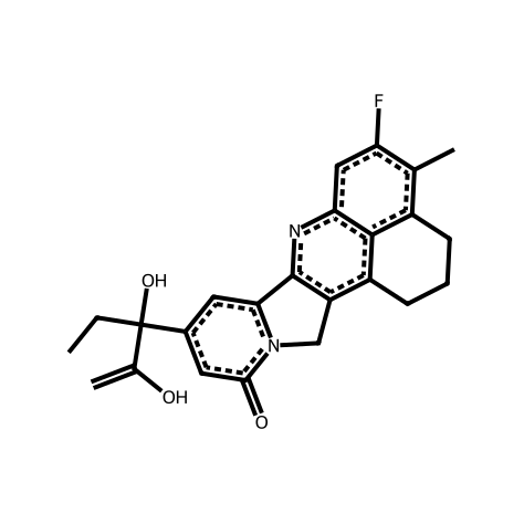 C=C(O)C(O)(CC)c1cc2n(c(=O)c1)Cc1c-2nc2cc(F)c(C)c3c2c1CCC3